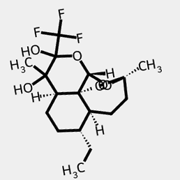 CC[C@@H]1CC[C@H]2C(C)(O)C(O)(C(F)(F)F)O[C@@H]3O[C@]4(C)CC[C@@H]1[C@]32OO4